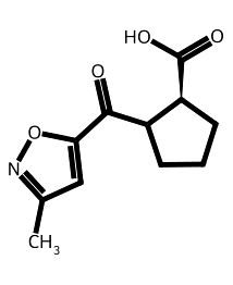 Cc1cc(C(=O)C2CCC[C@@H]2C(=O)O)on1